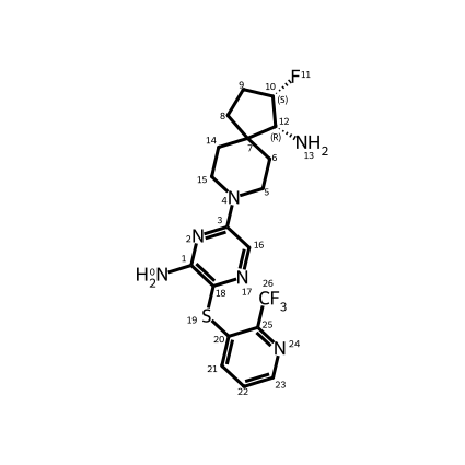 Nc1nc(N2CCC3(CC[C@H](F)[C@@H]3N)CC2)cnc1Sc1cccnc1C(F)(F)F